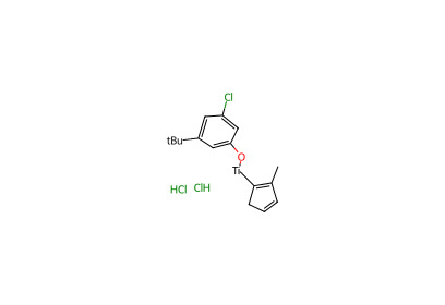 CC1=[C]([Ti][O]c2cc(Cl)cc(C(C)(C)C)c2)CC=C1.Cl.Cl